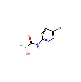 C[C@@H](O)C(=O)Nc1ccc(Cl)cn1